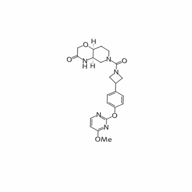 COc1ccnc(Oc2ccc(C3CN(C(=O)N4CC[C@@H]5OCC(=O)N[C@@H]5C4)C3)cc2)n1